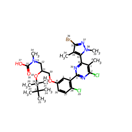 Cc1c(Cl)nc(-c2cc(OCC(CN(C)C(=O)O)O[Si](C)(C)C(C)(C)C)ccc2Cl)nc1-c1c(C)c(Br)nn1C